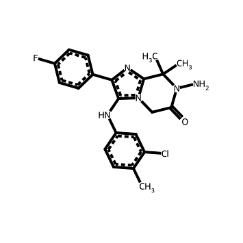 Cc1ccc(Nc2c(-c3ccc(F)cc3)nc3n2CC(=O)N(N)C3(C)C)cc1Cl